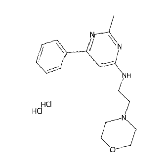 Cc1nc(NCCN2CCOCC2)cc(-c2ccccc2)n1.Cl.Cl